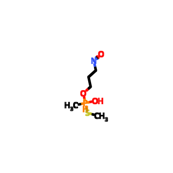 CS[PH](C)(O)OCCCN=O